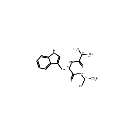 CC[C@H](C)[C@H](N)C(=O)N[C@@H](Cc1c[nH]c2ccccc12)C(=O)N[C@H](C(=O)O)C(C)C